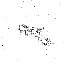 [NaH].[O-][S+](Cc1cc(OC2COC3(CCC3)OC2)ccn1)c1nc2ccccc2[nH]1